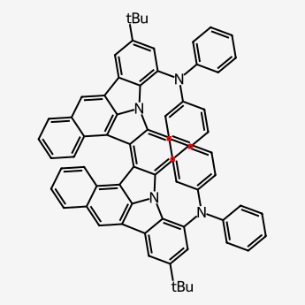 CC(C)(C)c1cc(N(c2ccccc2)c2ccccc2)c2c(c1)c1cc3ccccc3c3c4c5c6c7ccccc7cc7c8cc(C(C)(C)C)cc(N(c9ccccc9)c9ccccc9)c8n(c5ccc4n2c13)c76